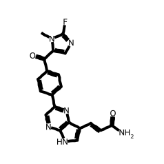 Cn1c(C(=O)c2ccc(-c3cnc4[nH]cc(C=CC(N)=O)c4n3)cc2)cnc1F